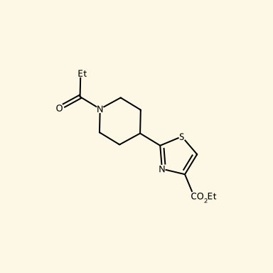 CCOC(=O)c1csc(C2CCN(C(=O)CC)CC2)n1